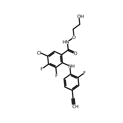 C#Cc1ccc(Nc2c(C(=O)NOCCO)cc(Cl)c(F)c2F)c(F)c1